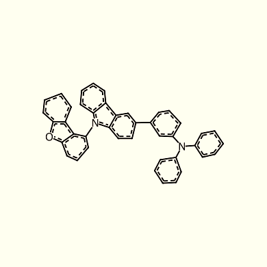 c1ccc(N(c2ccccc2)c2cccc(-c3ccc4c(c3)c3ccccc3n4-c3cccc4oc5ccccc5c34)c2)cc1